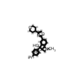 CC(C)c1ccc([C@](O)(c2cccc(-c3nc(C4CCOCC4)co3)c2)C2(C)CN(C)C2)cc1